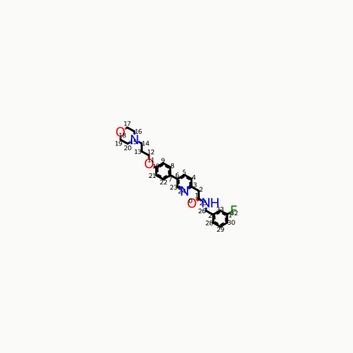 O=C(Cc1ccc(-c2ccc(OCCCN3CCOCC3)cc2)cn1)NCc1cccc(F)c1